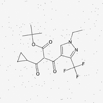 CCn1cc(C(=O)C(C(=O)OC(C)(C)C)C(=O)C2CC2)c(C(F)(F)F)n1